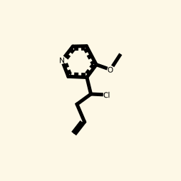 C=CCC(Cl)c1cnccc1OC